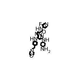 NC1CCC(Nc2cc(Nc3ccc(CCN4CCOCC4)cc3)c3ncc(C(=O)Nc4ccncc4F)n3n2)CC1